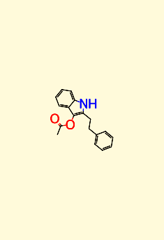 CC(=O)Oc1c(CCc2ccccc2)[nH]c2ccccc12